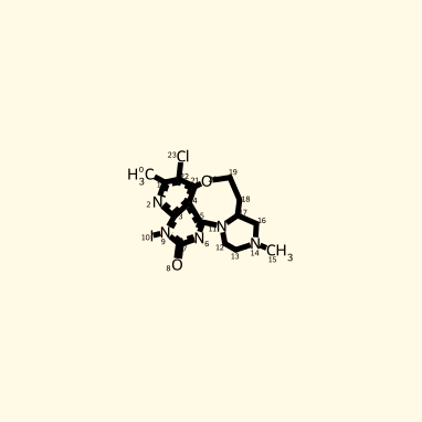 Cc1nc2c3c(nc(=O)n2I)N2CCN(C)CC2CCOc3c1Cl